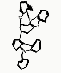 c1ccc(-n2c3ccccc3c3c(-c4cc5c6c(c4)Oc4ccccc4B6c4ccccc4O5)cccc32)cc1